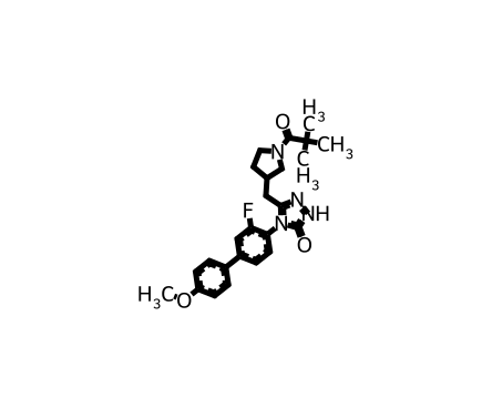 COc1ccc(-c2ccc(-n3c(CC4CCN(C(=O)C(C)(C)C)C4)n[nH]c3=O)c(F)c2)cc1